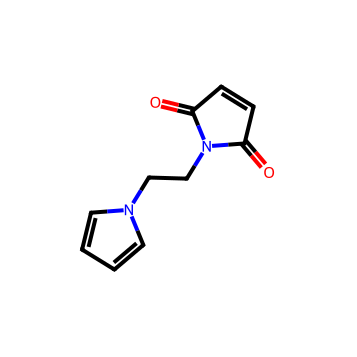 O=C1C=CC(=O)N1CCn1cccc1